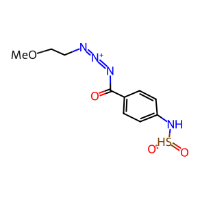 COCCN=[N+]=NC(=O)c1ccc(N[SH](=O)=O)cc1